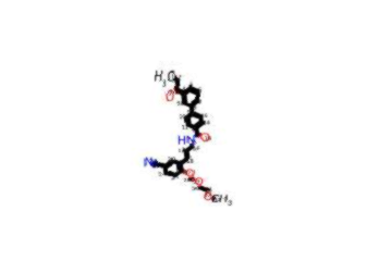 CCC(=O)c1cccc(-c2ccc(C(=O)NC/C=C/c3cc(C#N)ccc3OCOCCOC)cc2)c1